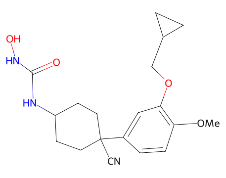 COc1ccc(C2(C#N)CCC(NC(=O)NO)CC2)cc1OCC1CC1